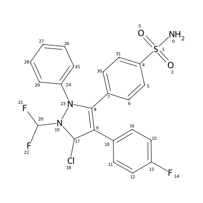 NS(=O)(=O)c1ccc(C2=C(c3ccc(F)cc3)C(Cl)N(C(F)F)N2c2ccccc2)cc1